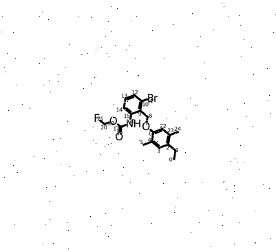 CCc1cc(C)c(OCc2c(Br)cccc2NC(=O)OCF)cc1C